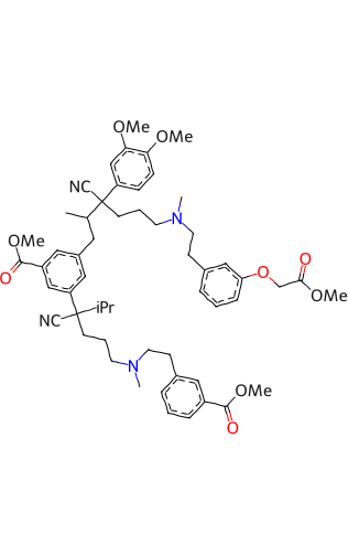 COC(=O)COc1cccc(CCN(C)CCCC(C#N)(c2ccc(OC)c(OC)c2)C(C)Cc2cc(C(=O)OC)cc(C(C#N)(CCCN(C)CCc3cccc(C(=O)OC)c3)C(C)C)c2)c1